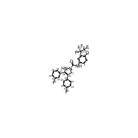 O=C(Nc1ccc2c(c1)C(F)(F)C(F)(F)O2)N1CC(c2ccc(F)cc2)=C(c2cccc(F)c2)N1